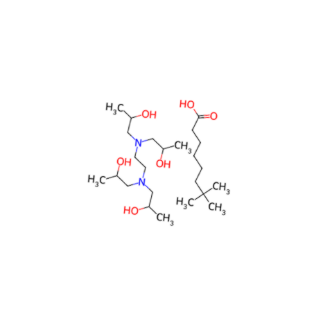 CC(C)(C)CCCCCC(=O)O.CC(O)CN(CCN(CC(C)O)CC(C)O)CC(C)O